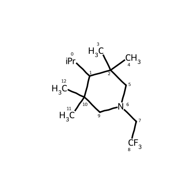 CC(C)C1C(C)(C)CN(CC(F)(F)F)CC1(C)C